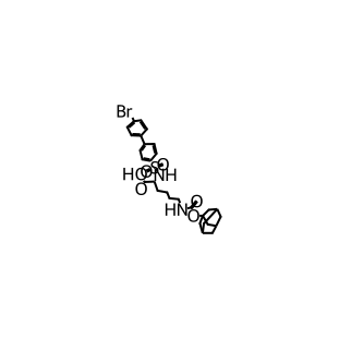 O=C(NCCCCC(NS(=O)(=O)c1ccc(-c2ccc(Br)cc2)cc1)C(=O)O)OC12CC3CC(CC(C3)C1)C2